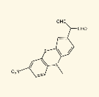 CN1c2ccc(C([C]=O)C=O)cc2Sc2cc([N+](=O)[O-])ccc21